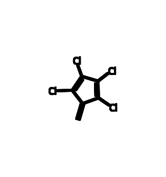 C=C1C(Cl)=C(Cl)C(Cl)=C1Cl